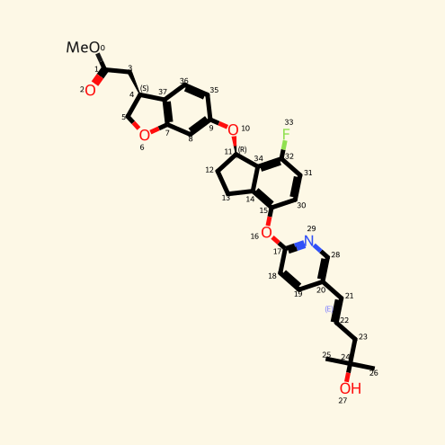 COC(=O)C[C@@H]1COc2cc(O[C@@H]3CCc4c(Oc5ccc(/C=C/CC(C)(C)O)cn5)ccc(F)c43)ccc21